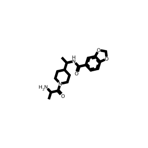 CC(N)C(=O)N1CCC(C(C)NC(=O)c2ccc3c(c2)OCO3)CC1